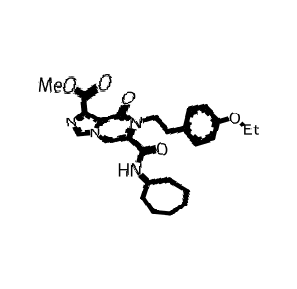 CCOc1ccc(CCn2c(C(=O)NC3CCCCCC3)cn3cnc(C(=O)OC)c3c2=O)cc1